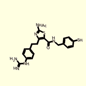 CC(=O)Nc1nc(CCc2ccc(NC(=N)N)cc2)c(C(=O)NCc2ccc(S)cc2)s1